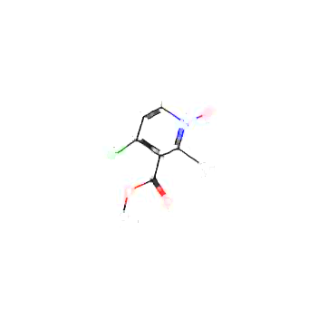 COC(=O)c1c(Cl)cc[n+]([O-])c1C